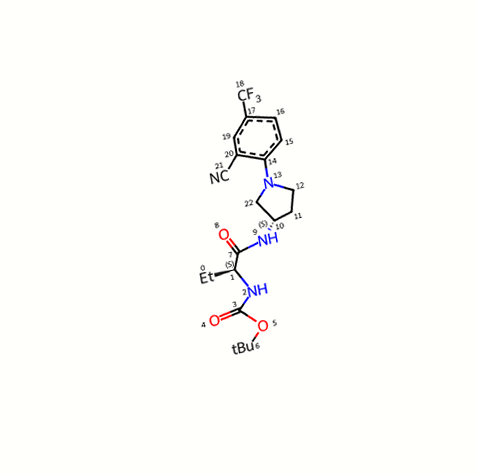 CC[C@H](NC(=O)OC(C)(C)C)C(=O)N[C@H]1CCN(c2ccc(C(F)(F)F)cc2C#N)C1